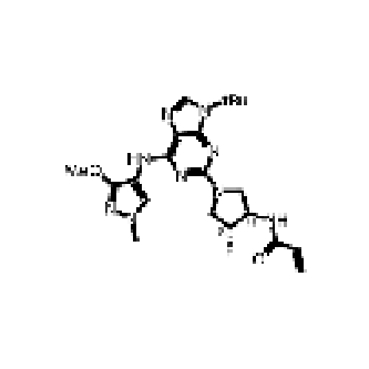 C=CC(=O)N[C@@H]1CN(c2nc(Nc3cn(C)nc3OC)c3ncn(C(C)(C)C)c3n2)C[C@H]1F